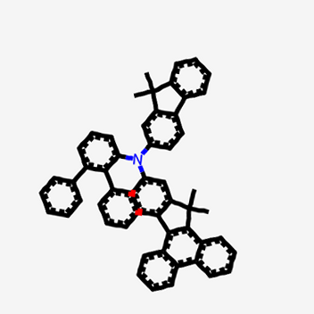 CC1(C)c2ccccc2-c2ccc(N(c3ccc4c(c3)C(C)(C)c3c-4c4ccccc4c4ccccc34)c3cccc(-c4ccccc4)c3-c3ccccc3)cc21